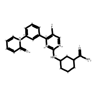 NC(=O)C1CCCC(Nc2ncc(F)c(-c3cccc(-n4ccccc4=O)c3)n2)C1